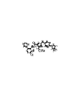 CCc1ccc(-n2cnnn2)c(CNC(=O)c2cn(Cc3cnc(N4CCC(C)(F)C4)nc3)nc2COC)c1F